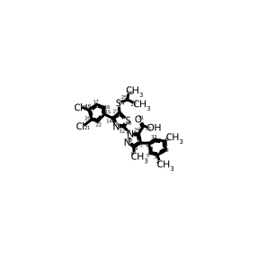 Cc1cc(C)cc(-c2c(C)nn(-c3nc(-c4ccc(Cl)c(Cl)c4)c(SC(C)C)s3)c2C(=O)O)c1